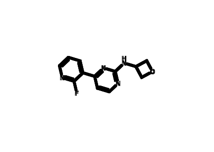 Fc1ncccc1-c1ccnc(NC2COC2)n1